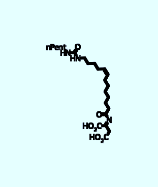 CCCCCNC(=O)NCCCC/C=C\CCCCCCC(=O)/N=C(/CC(=O)O)C(=O)O